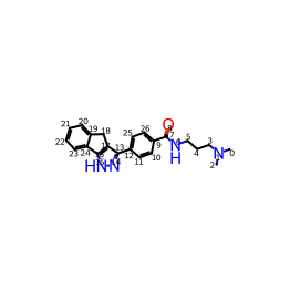 CN(C)CCCNC(=O)c1ccc(-c2n[nH]c3c2Cc2ccccc2-3)cc1